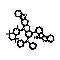 Cc1cc2c(cc1N1c3cc4c(cc3Bc3c(-c5cccc6c5[nH]c5sc7ccccc7c56)cc(N(c5ccccc5)c5ccccc5)cc31)oc1ccccc14)C(C)(C)CCC2(C)C